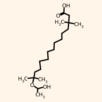 CC(O)OC(C)(C)CCCCCCCCCCC(C)(C)CC(=O)O